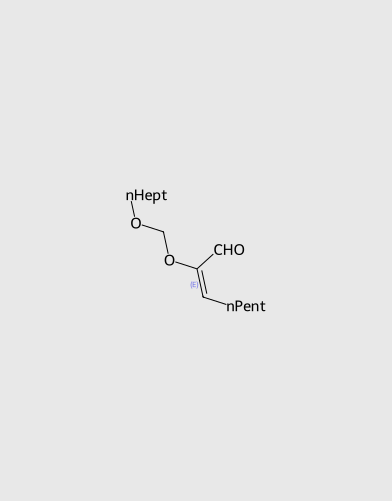 CCCCC/C=C(\C=O)OCOCCCCCCC